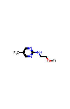 CCOCCNc1ncc(C(F)(F)F)cn1